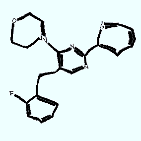 Fc1ccccc1Cc1cnc(-c2ccccn2)nc1N1CCOCC1